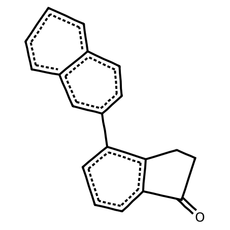 O=C1CCc2c1cccc2-c1ccc2ccccc2c1